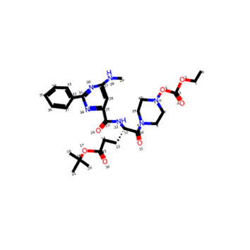 CCOC(=O)ON1CCN(C(=O)[C@H](CCC(=O)OC(C)(C)C)NC(=O)c2cc(NC)nc(-c3ccccc3)n2)CC1